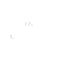 Cc1[nH]c2ncccc2c1C(C)C